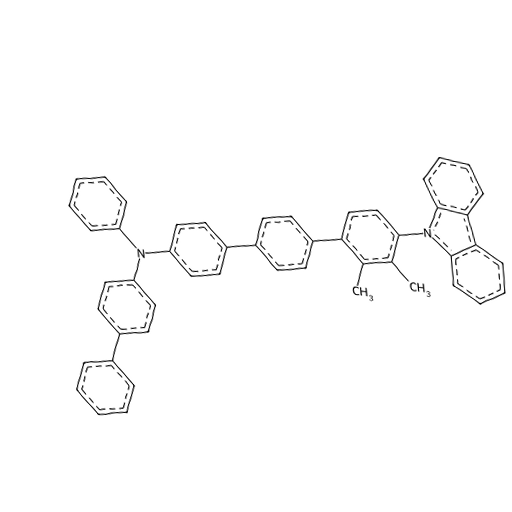 Cc1c(-c2ccc(-c3ccc(N(c4ccccc4)c4ccc(-c5ccccc5)cc4)cc3)cc2)ccc(-n2c3ccccc3c3ccccc32)c1C